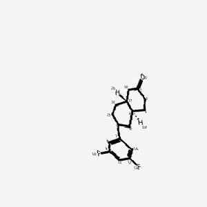 O=C1CC[C@H]2CC(c3cc(F)cc(F)c3)CC[C@@H]2C1